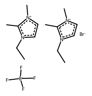 CCn1cc[n+](C)c1C.CCn1cc[n+](C)c1C.F[B-](F)(F)F.[Br-]